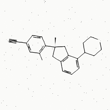 C[C@]1(c2ccc(C#N)cc2F)Cc2cccc(C3CCNCC3)c2C1